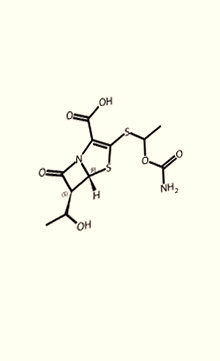 CC(OC(N)=O)SC1=C(C(=O)O)N2C(=O)[C@H](C(C)O)[C@H]2S1